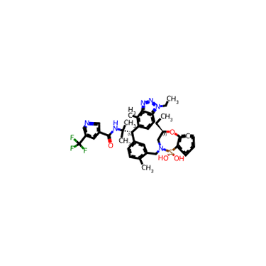 CC[C@@H]1CN(Cc2cc([C@@H](c3ccc4c(nnn4CC)c3C)C(C)(C)NC(=O)c3cncc(C(F)(F)F)c3)ccc2C)S(O)(O)c2ccccc2O1